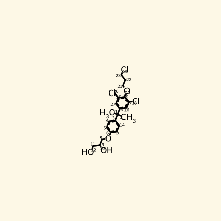 CC(C)(c1ccc(OC[C@@H](O)CO)cc1)c1cc(Cl)c(OCCCCl)c(Cl)c1